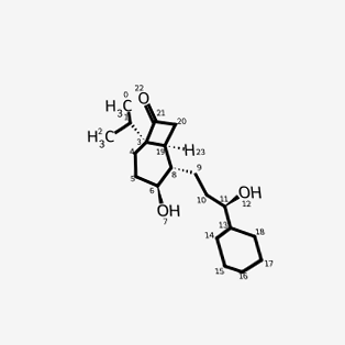 CC(C)[C@@]12CC[C@H](O)[C@@H](CC[C@@H](O)C3CCCCC3)[C@@H]1CC2=O